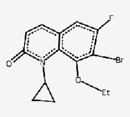 CCOc1c(Br)c(F)cc2ccc(=O)n(C3CC3)c12